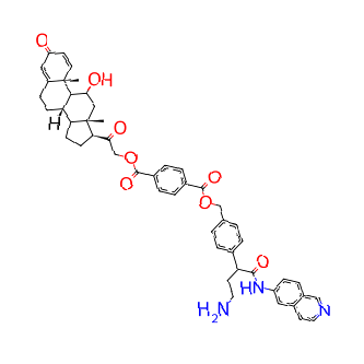 C[C@]12C=CC(=O)C=C1CC[C@@H]1C2[C@@H](O)C[C@@]2(C)C1CC[C@@H]2C(=O)COC(=O)c1ccc(C(=O)OCc2ccc(C(CCN)C(=O)Nc3ccc4cnccc4c3)cc2)cc1